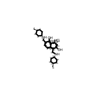 C[C@H]1CC[C@H](NCc2ccc3c(CN[C@H]4CC[C@H](C)CC4)c(O)ccc3c2O)CC1.Cl.Cl